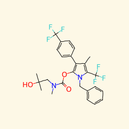 Cc1c(-c2ccc(C(F)(F)F)cc2)c(OC(=O)N(C)CC(C)(C)O)n(Cc2ccccc2)c1C(F)(F)F